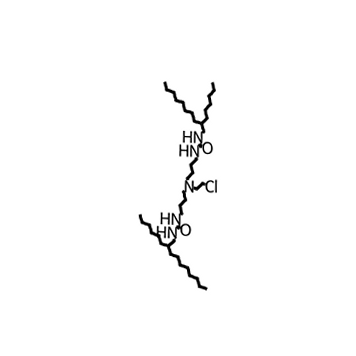 CCCCCCCCC(CCCCCC)CNC(=O)NCCCCN(CCCl)CCCCNC(=O)NCC(CCCCCC)CCCCCCCC